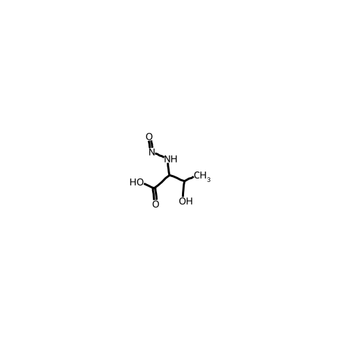 CC(O)C(NN=O)C(=O)O